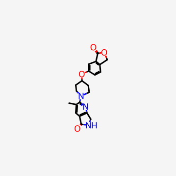 Cc1cc2c(nc1N1CCC(Oc3ccc4c(c3)C(=O)OC4)CC1)CNC2=O